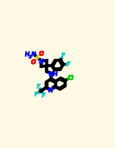 NS(=O)(=O)N1CC(CNc2cc(C(F)(F)F)nc3ccc(Cl)cc23)(c2ccc(F)c(F)c2)C1